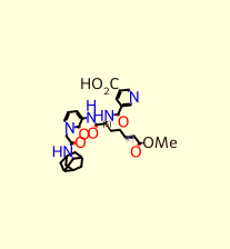 COC(=O)/C=C/CC[C@H](NC(=O)c1cncc(C(=O)O)c1)C(=O)Nc1cccn(CC(=O)NC2C3CC4CC(C3)C2C4)c1=O